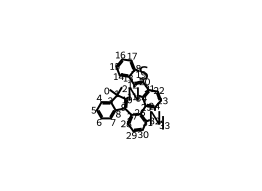 CC1(C)c2ccccc2-c2c1n1c3c4ccccc4sc3c3ccc4c(c5c2cccc5n4I)c31